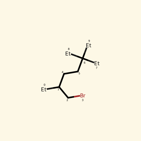 CCC(CBr)CCC(CC)(CC)CC